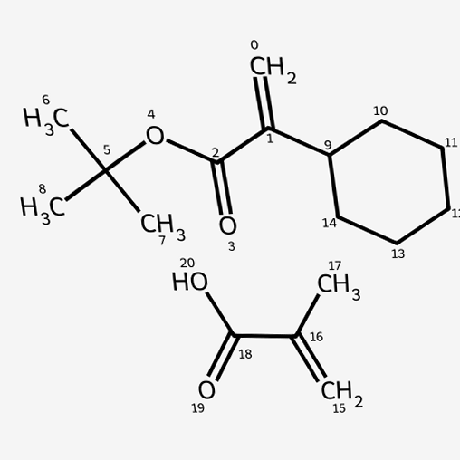 C=C(C(=O)OC(C)(C)C)C1CCCCC1.C=C(C)C(=O)O